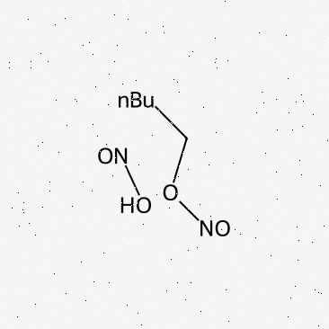 CCCCCON=O.O=NO